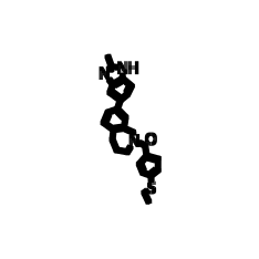 CCSc1ccc(C(=O)N2CCCc3ccc(-c4ccc5[nH]c(C)nc5c4)cc3C2)cc1